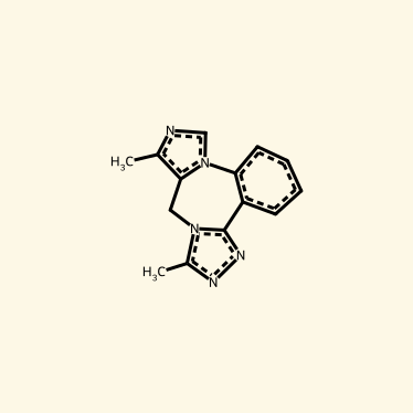 Cc1ncn2c1Cn1c(C)nnc1-c1ccccc1-2